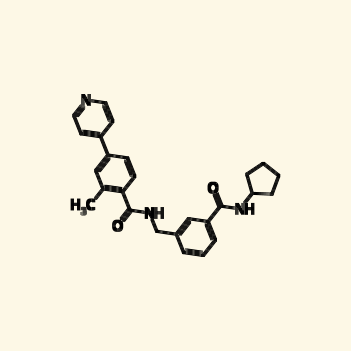 Cc1cc(-c2ccncc2)ccc1C(=O)NCc1cccc(C(=O)NC2CCCC2)c1